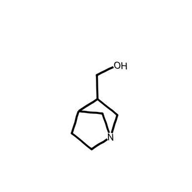 OCC1CN2CCC1C2